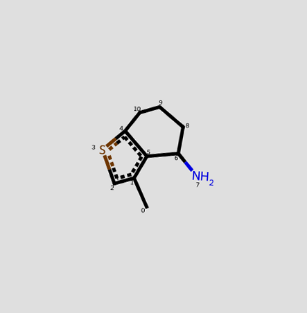 Cc1csc2c1C(N)CCC2